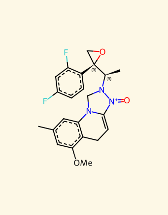 COc1cc(C)cc2c1CC=C1N2CN([C@H](C)[C@]2(c3ccc(F)cc3F)CO2)[N+]1=O